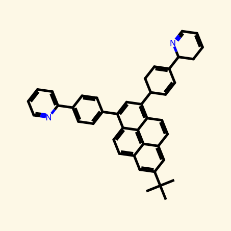 CC(C)(C)c1cc2ccc3c(-c4ccc(-c5ccccn5)cc4)cc(C4C=CC(C5CC=CC=N5)=CC4)c4ccc(c1)c2c34